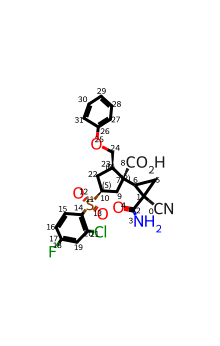 N#CC1(C(N)=O)CC1[C@]1(C(=O)O)C[C@@H](S(=O)(=O)c2ccc(F)cc2Cl)C[C@H]1COc1ccccc1